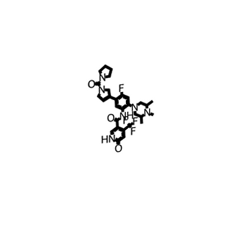 CC1CN(c2cc(F)c(C3=CCN(C(=O)N4CCCC4)C3)cc2NC(=O)c2c[nH]c(=O)cc2C(F)(F)F)CC(C)N1C